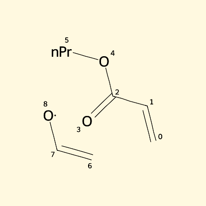 C=CC(=O)OCCC.C=C[O]